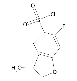 CC1COc2cc(F)c(S(=O)(=O)Cl)cc21